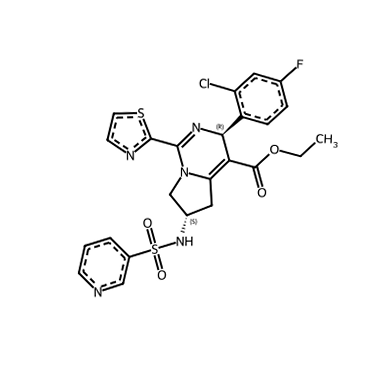 CCOC(=O)C1=C2C[C@H](NS(=O)(=O)c3cccnc3)CN2C(c2nccs2)=N[C@H]1c1ccc(F)cc1Cl